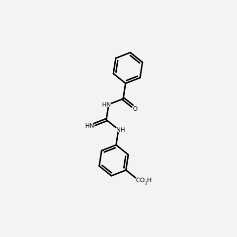 N=C(NC(=O)c1ccccc1)Nc1cccc(C(=O)O)c1